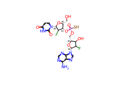 Nc1ncnc2c1ncn2[C@@H]1O[C@H](COP(=O)(S)O[C@@H]2C(F)[C@H](n3ccc(=O)[nH]c3=O)O[C@@H]2CO)C(O)C1F